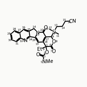 CCC1(OC(=O)NC)C(=O)OC([Si](C)(C)CCCC#N)c2c1cc1n(c2=O)Cc2cc3ccccc3nc2-1